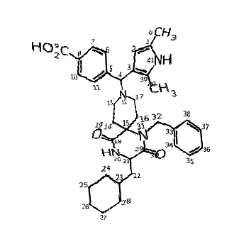 Cc1cc(C(c2ccc(C(=O)O)cc2)N2CCC3(CC2)C(=O)NC(CC2CCCCC2)C(=O)N3Cc2ccccc2)c(C)[nH]1